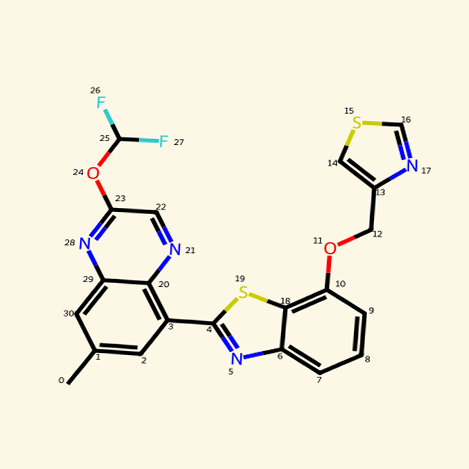 Cc1cc(-c2nc3cccc(OCc4cscn4)c3s2)c2ncc(OC(F)F)nc2c1